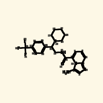 Nc1cnc2cccc(C(=O)NCC(c3ccc(C(F)(F)F)nc3)N3CCCCC3)n12